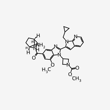 COC(=O)N1CC(n2c(-c3cc4cccnc4n3CC3CC3)nc3cc(C(=O)N4C[C@H]5CC[C@@H]4[C@@H]5N)cc(OC)c32)C1